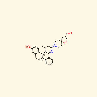 CC1C=C(N2CCC3(CC2)CC(C=O)CO3)N=CC1[C@@H]1c2ccc(O)cc2CC[C@@H]1c1ccccc1